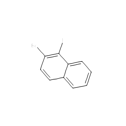 Fc1c(Br)ccc2ccccc12